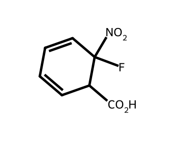 O=C(O)C1C=CC=CC1(F)[N+](=O)[O-]